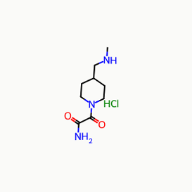 CNCC1CCN(C(=O)C(N)=O)CC1.Cl